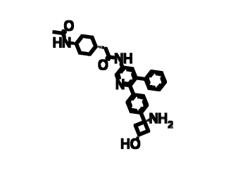 CC(=O)N[C@H]1CC[C@H](CC(=O)Nc2cnc(-c3ccc([C@]4(N)C[C@@H](O)C4)cc3)c(-c3ccccc3)c2)CC1